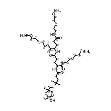 CC(C)(CCC(=O)NC(CCC(=O)NC(CCC(=O)NCCOCCON)C(=O)NCCOCCON)C(=O)NCCOCCON)OCC(C)(C)OP(C)(=O)O